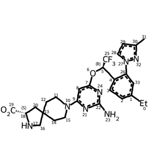 CCc1ccc([C@@H](Oc2cc(N3CCC4(CC3)CN[C@H](C(=O)O)C4)nc(N)n2)C(F)(F)F)c(-n2ccc(C)n2)c1